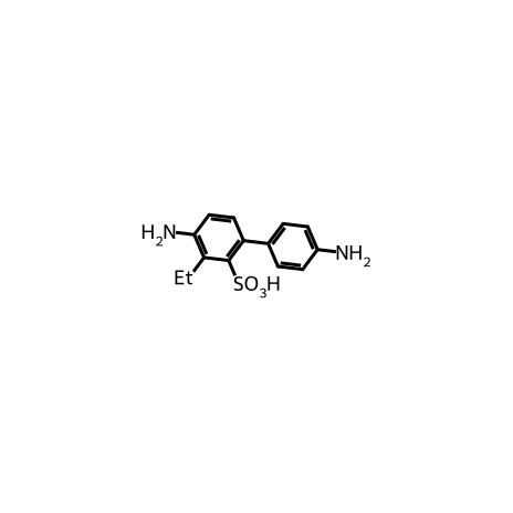 CCc1c(N)ccc(-c2ccc(N)cc2)c1S(=O)(=O)O